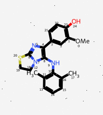 COc1cc(-c2nc3n(c2Nc2c(C)cccc2C)CCS3)ccc1O